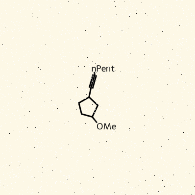 CCCCCC#CC1CCC(OC)C1